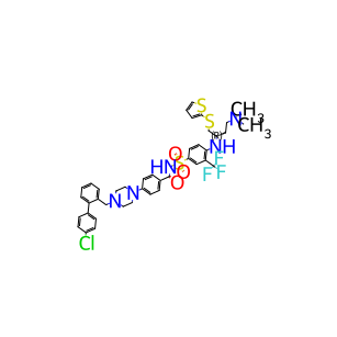 CN(C)CC[C@H](CSc1cccs1)Nc1ccc(S(=O)(=O)NC(=O)c2ccc(N3CCN(Cc4ccccc4-c4ccc(Cl)cc4)CC3)cc2)cc1C(F)(F)F